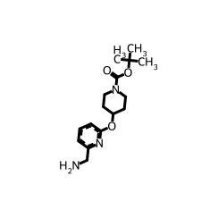 CC(C)(C)OC(=O)N1CCC(Oc2cccc(CN)n2)CC1